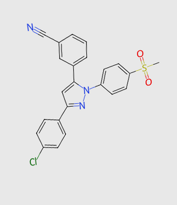 CS(=O)(=O)c1ccc(-n2nc(-c3ccc(Cl)cc3)cc2-c2cccc(C#N)c2)cc1